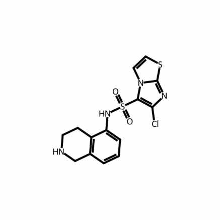 O=S(=O)(Nc1cccc2c1CCNC2)c1c(Cl)nc2sccn12